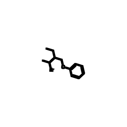 CCC(COc1ccccc1)C(C)Br